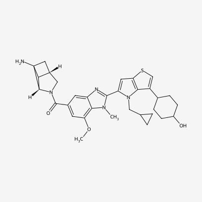 COc1cc(C(=O)N2C[C@H]3CC4(N)C3[C@H]24)cc2nc(-c3cc4scc(C5CCC(O)CC5)c4n3CC3CC3)n(C)c12